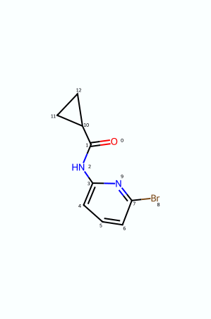 O=C(Nc1cccc(Br)n1)C1CC1